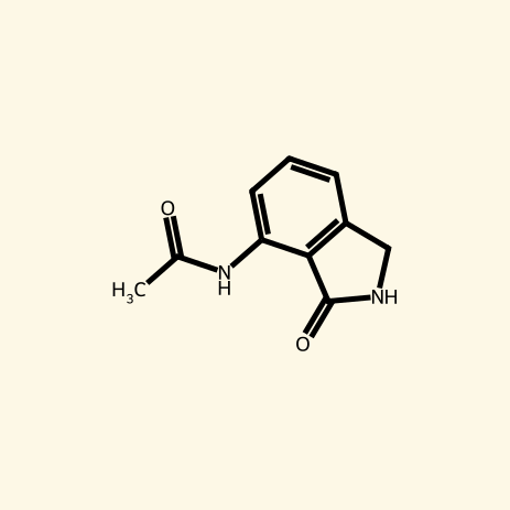 CC(=O)Nc1cccc2c1C(=O)NC2